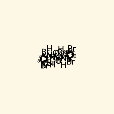 O=C(NNc1c(Br)ccc(Br)c1Br)C(=O)NNc1c(Br)ccc(Br)c1Br